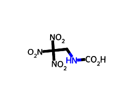 O=C(O)NCC([N+](=O)[O-])([N+](=O)[O-])[N+](=O)[O-]